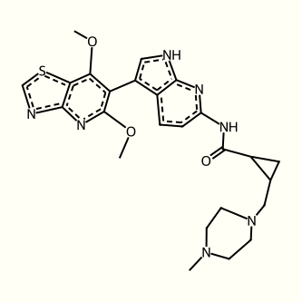 COc1nc2ncsc2c(OC)c1-c1c[nH]c2nc(NC(=O)C3CC3CN3CCN(C)CC3)ccc12